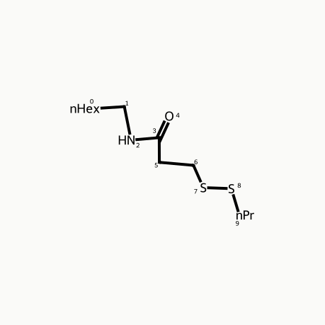 CCCCCCCNC(=O)CCSSCCC